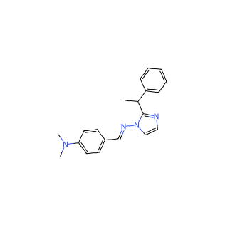 CC(c1ccccc1)c1nccn1N=Cc1ccc(N(C)C)cc1